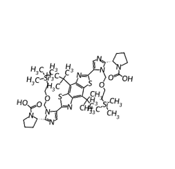 CC(C)(C)c1c2nc(-c3cnc([C@@H]4CCCN4C(=O)O)n3COCC[Si](C)(C)C)sc2c(C(C)(C)C)c2nc(-c3cnc([C@@H]4CCCN4C(=O)O)n3COCC[Si](C)(C)C)sc12